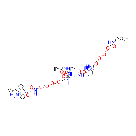 CN/C1=C(\N)c2ccccc2N(C(=O)CCC(=O)NCCOCCOCCOCCOCCC(=O)N[C@H](CCCCNC(=O)COC2CCCCC/C(NCCOCCOCCOCCOCCC(=O)NCCS(=O)(=O)O)=C\2NN)C(=O)N[C@H](C(=O)N[C@@H](C)C(=O)C(C)C)C(C)C)Cc2ccccc21